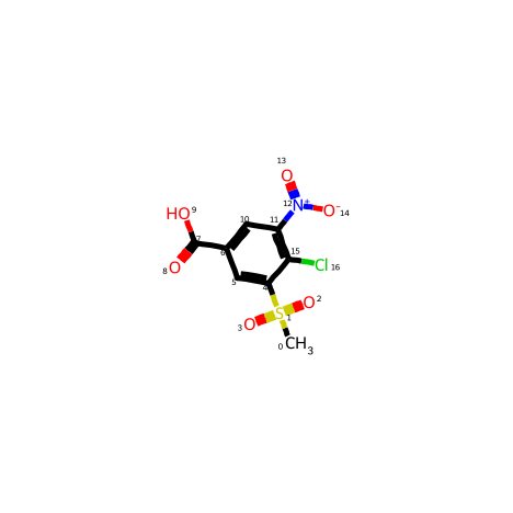 CS(=O)(=O)c1cc(C(=O)O)cc([N+](=O)[O-])c1Cl